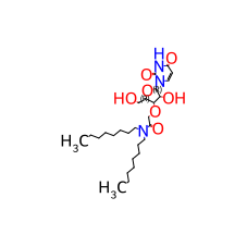 CCCCCCCCN(CCCCCCCC)C(=O)COC1C(O)[C@H](n2ccc(=O)[nH]c2=O)O[C@@H]1CO